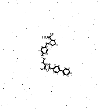 Cc1oc(-c2ccc(-c3ccccc3)cc2)nc1CCOc1ccc(CN2CCCC2C(=O)O)cc1